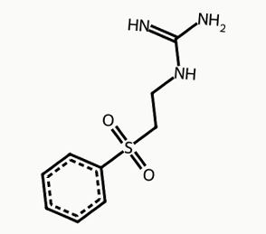 N=C(N)NCCS(=O)(=O)c1ccccc1